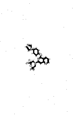 FC1(F)CN(c2cc3ncccc3c(OC3CCC(n4ccnc4)CC3)n2)CC(F)(F)O1